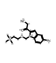 CC(=O)c1ccc2c(c1)cc(C(=O)CC#N)n2COCC[Si](C)(C)C